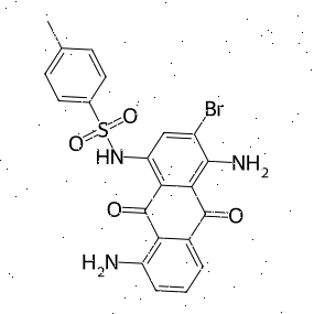 Cc1ccc(S(=O)(=O)Nc2cc(Br)c(N)c3c2C(=O)c2c(N)cccc2C3=O)cc1